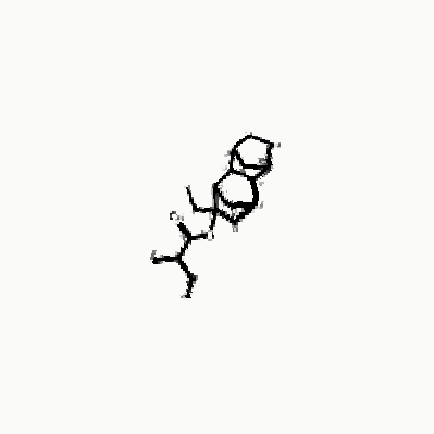 CCC(C)C(=O)OC1(CC)CC2CCC1C1C3CCC(C3)C21